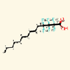 CCCCCCCCCCC(F)(F)C(F)(F)C(F)(F)C(=O)O